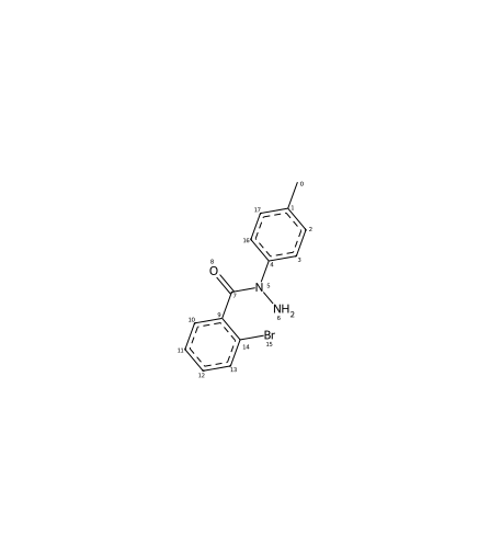 Cc1ccc(N(N)C(=O)c2ccccc2Br)cc1